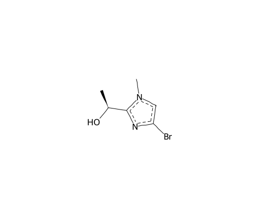 C[C@H](O)c1nc(Br)cn1C